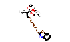 CO[Si](OC)(OC)C(C)CSSSSSSc1nc2ccccc2s1